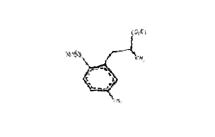 CCOC(=O)C(C)Cc1cc(C(C)(C)C)ccc1OC